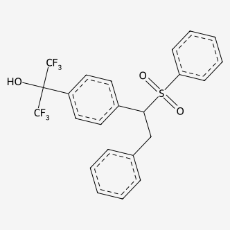 O=S(=O)(c1ccccc1)C(Cc1ccccc1)c1ccc(C(O)(C(F)(F)F)C(F)(F)F)cc1